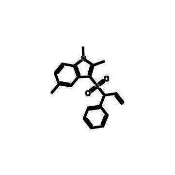 C=CC(c1ccccc1)S(=O)(=O)c1c(C)n(C)c2ccc(C)cc12